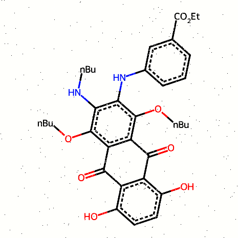 CCCCNc1c(Nc2cccc(C(=O)OCC)c2)c(OCCCC)c2c(c1OCCCC)C(=O)c1c(O)ccc(O)c1C2=O